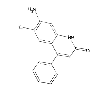 Nc1cc2[nH]c(=O)cc(-c3ccccc3)c2cc1Cl